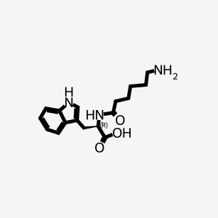 NCCCCCC(=O)N[C@H](Cc1c[nH]c2ccccc12)C(=O)O